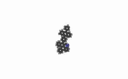 c1ccc(-c2c3ccccc3c(-c3ccc(-c4c5ccccc5c(-c5ccccc5)c5c4cnc4ccccc45)cc3)c3ccccc23)cc1